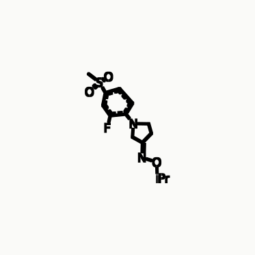 CC(C)O/N=C1\CCN(c2ccc(S(C)(=O)=O)cc2F)C1